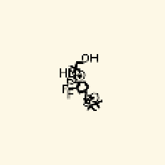 CC(C)(CCO)NS(=O)(=O)c1ccc(B2OC(C)(C)C(C)(C)O2)cc1C(F)(F)F